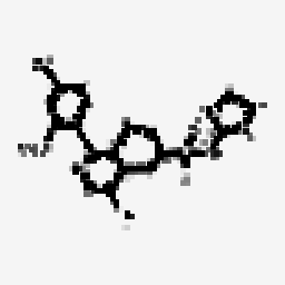 COc1cc(Cl)ccc1-c1ncc(C#N)c2cc(S(=O)(=O)Nc3nccs3)ccc12